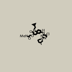 CNC(=O)COc1cc2cc(Nc3nc(N4CCC[C@H](C)C4)ncc3Cl)ccc2n(CCC2CC2)c1=O